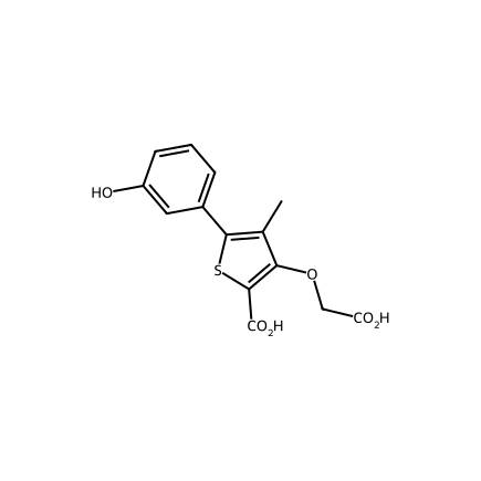 Cc1c(-c2cccc(O)c2)sc(C(=O)O)c1OCC(=O)O